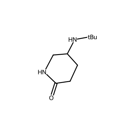 CC(C)(C)NC1CCC(=O)NC1